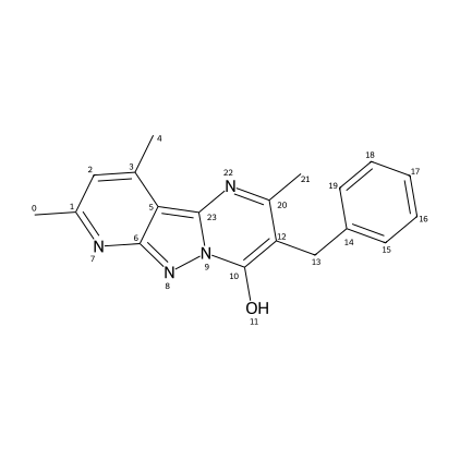 Cc1cc(C)c2c(n1)nn1c(O)c(Cc3ccccc3)c(C)nc21